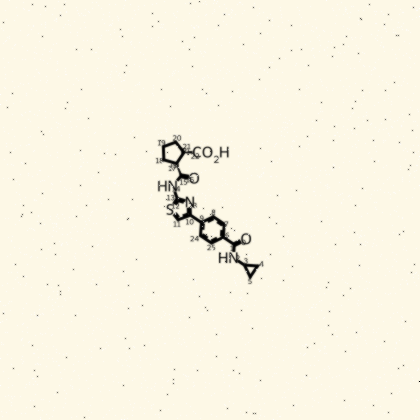 O=C(NC1CC1)c1ccc(-c2csc(NC(=O)[C@H]3CCC[C@H]3C(=O)O)n2)cc1